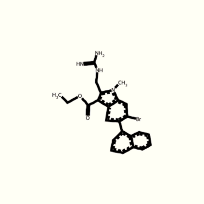 CCOC(=O)c1c(CNC(=N)N)n(C)c2cc(Br)c(-c3cccc4ccccc34)cc12